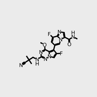 CNC(=O)c1cnc2c(F)cc(-c3c(F)cn4nc(NCC(C)(C)C#N)nc(OC)c34)cn12